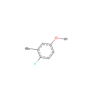 CC(C)Oc1ccc(F)c(C(C)(C)C)c1